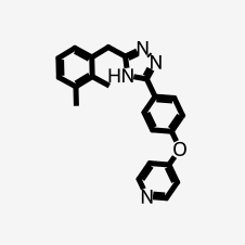 Cc1cccc(Cc2nnc(-c3ccc(Oc4ccncc4)cc3)[nH]2)c1C